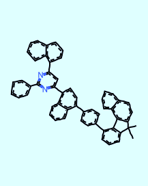 CC1(C)c2cccc(-c3ccc(-c4ccc(-c5cc(-c6cccc7ccccc67)nc(-c6ccccc6)n5)c5ccccc45)cc3)c2-c2c1ccc1ccccc21